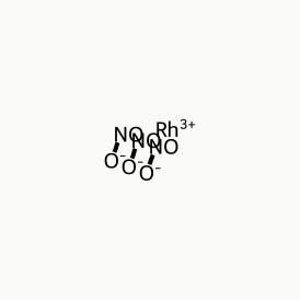 O=N[O-].O=N[O-].O=N[O-].[Rh+3]